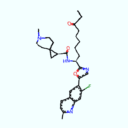 CCC(=O)CCCCC[C@H](NC(=O)[C@H]1CC12CCN(C)CC2)c1ncc(-c2cc3ccc(C)nc3cc2F)o1